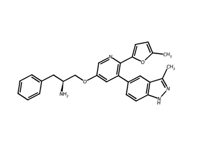 Cc1ccc(-c2ncc(OC[C@@H](N)Cc3ccccc3)cc2-c2ccc3[nH]nc(C)c3c2)o1